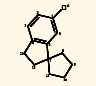 Clc1ccc2c(c1)C1(CCCC1)CC2